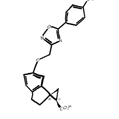 O=C(O)[C@@H]1C[C@]12CCc1ccc(OCc3noc(-c4ccc(C(F)(F)F)cc4)n3)cc12